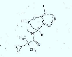 CC(C)(C(=O)N1C[C@@H]2C[C@H]1c1cncc(F)c1O2)C1CC1